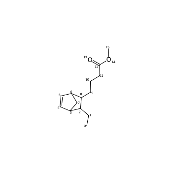 CCC1C2C=CC(C2)C1CCCC(=O)OC